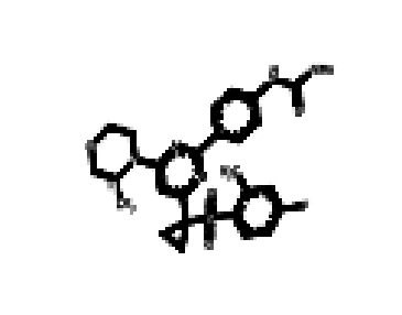 CNC(=O)Nc1ccc(-c2nc(N3CCOC[C@@H]3C)cc(C3(S(=O)(=O)c4ccc(F)cc4C)CC3)n2)cc1